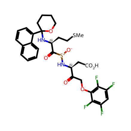 CSCC[C@H](NC1(c2cccc3ccccc23)CCCCO1)C(=O)[S+]([O-])N[C@@H](CC(=O)O)C(=O)COc1c(F)c(F)cc(F)c1F